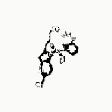 O=C(O)CCCc1cc2nc(Cl)ccc2n1S(=O)(=O)c1cccc(Br)c1